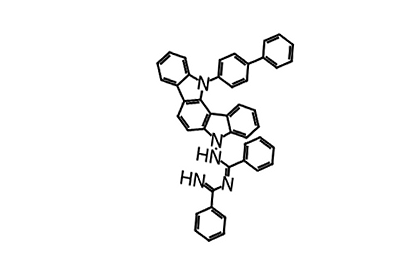 N=C(/N=C(\Nn1c2ccccc2c2c1ccc1c3ccccc3n(-c3ccc(-c4ccccc4)cc3)c12)c1ccccc1)c1ccccc1